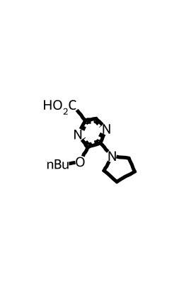 CCCCOc1nc(C(=O)O)cnc1N1CCCC1